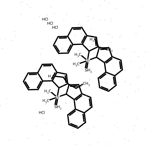 CC1=Cc2ccc3ccccc3c2[CH]1[Zr]([CH3])([CH3])(=[SiH2])[CH]1C(C)=Cc2ccc3ccccc3c21.CCC1=Cc2ccc3ccccc3c2[CH]1[Zr]([CH3])([CH3])(=[SiH2])[CH]1C(CC)=Cc2ccc3ccccc3c21.Cl.Cl.Cl.Cl